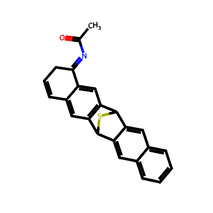 CC(=O)N=C1CC=Cc2cc3c(cc21)C1SC3c2cc3ccccc3cc21